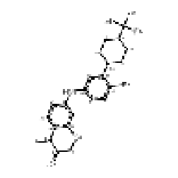 CN1C(=O)COc2cc(Nc3ccc(F)c(N4CCC(C(F)(F)F)CC4)c3)ccc21